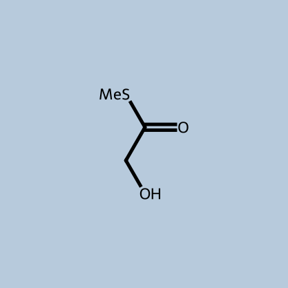 CSC(=O)CO